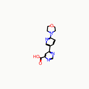 O=C(O)c1cc(-c2ccc(N3CCOCC3)nc2)ncn1